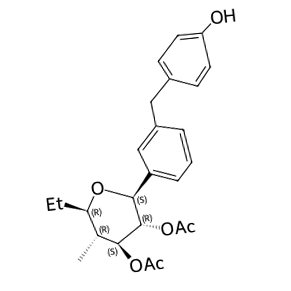 CC[C@H]1O[C@@H](c2cccc(Cc3ccc(O)cc3)c2)[C@H](OC(C)=O)[C@@H](OC(C)=O)[C@@H]1C